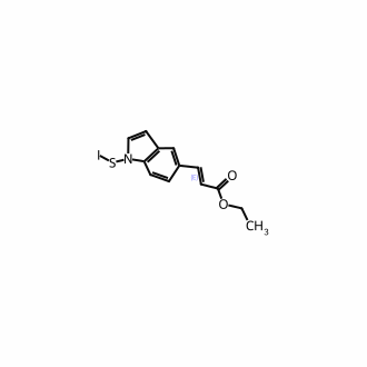 CCOC(=O)/C=C/c1ccc2c(ccn2SI)c1